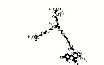 Cc1sc2c(c1C)C(c1ccc(Cl)cc1)=N[C@@H](CC(=O)OCCOCCOCCOCC(C)(COCCOCCOCCOS(C)(=O)=O)COCC(=O)NCC(C)(C)C)c1nnc(C)n1-2